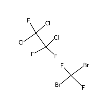 FC(F)(Br)Br.FC(F)(Cl)C(F)(Cl)Cl